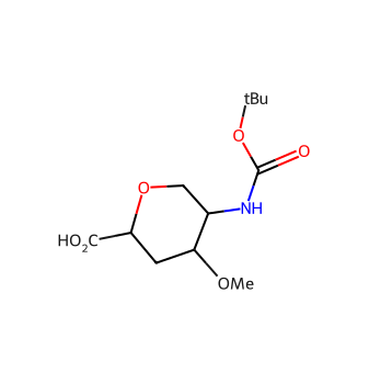 COC1CC(C(=O)O)OCC1NC(=O)OC(C)(C)C